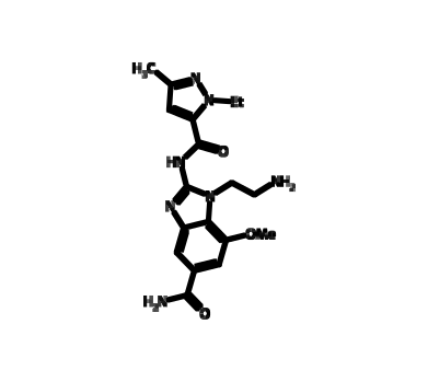 CCn1nc(C)cc1C(=O)Nc1nc2cc(C(N)=O)cc(OC)c2n1CCN